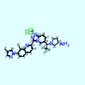 Cc1cnn(-c2ccc3ccc(-c4nnc5ccc([C@@H](N6CC[C@H](N)C6)C(F)(F)F)cn45)nc3c2C)c1.Cl.Cl